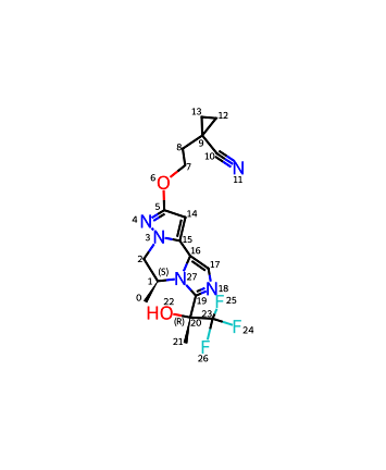 C[C@H]1Cn2nc(OCCC3(C#N)CC3)cc2-c2cnc([C@@](C)(O)C(F)(F)F)n21